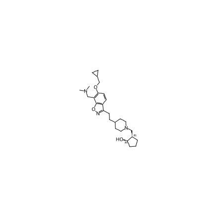 CN(C)Cc1c(OCC2CC2)ccc2c(CCC3CCN(C[C@H]4CCC[C@H]4O)CC3)noc12